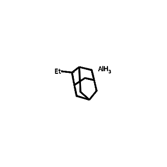 CC[C]1C2CC3CC(C2)CC1C3.[AlH3]